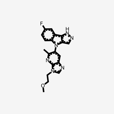 COCCn1cnc2cc(-n3c4ccc(F)cc4c4[nH]ncc43)c(C)nc21